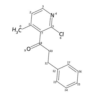 Cc1ccnc(Cl)c1C(=O)CCc1ccccc1